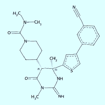 CN(C)C(=O)N1CCC([C@H]2C(=O)N(C)C(=N)N[C@]2(C)c2cc(-c3cccc(C#N)c3)cs2)CC1